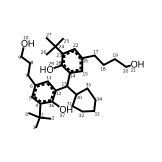 CC(C)(C)c1cc(CCCO)cc(C(c2cc(CCCCO)cc(C(C)(C)C)c2O)C2CCCCC2)c1O